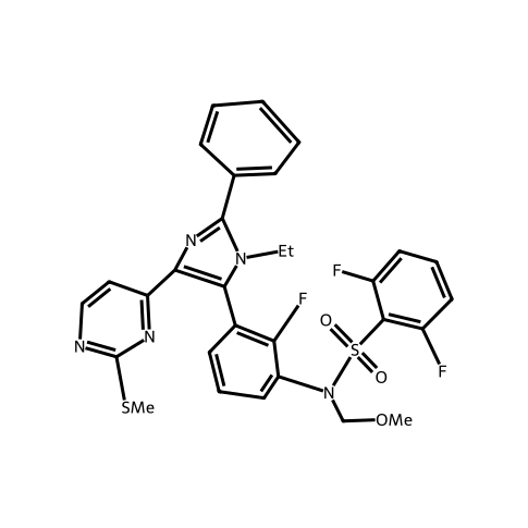 CCn1c(-c2ccccc2)nc(-c2ccnc(SC)n2)c1-c1cccc(N(COC)S(=O)(=O)c2c(F)cccc2F)c1F